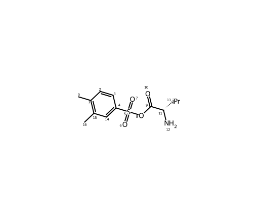 Cc1ccc(S(=O)(=O)OC(=O)[C@@H](N)C(C)C)cc1C